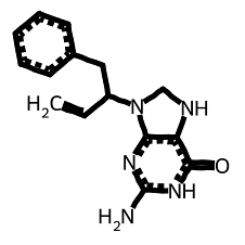 C=CC(Cc1ccccc1)N1CNc2c1nc(N)[nH]c2=O